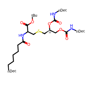 CCCCCCCCCCCCCCCC(=O)NC(CSC[C@H](COC(=O)NCCCCCCCCCC)OC(=O)NCCCCCCCCCC)C(=O)OC(C)(C)C